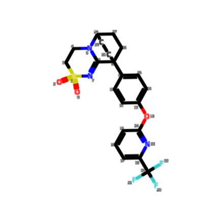 O=S1(=O)CCN2C(=N1)C1(c3ccc(Oc4cccc(C(F)(F)F)n4)cc3)CCC2CC1